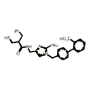 CCCCc1nc(CNC(=O)C(CS)CC(C)C)cn1Cc1ccc(-c2ccccc2C(=O)O)cc1